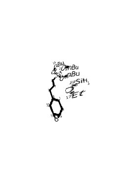 CCCCO[Si](CCCC1CCC2OC2C1)(OCCCC)OCCCC.CCO[SiH3]